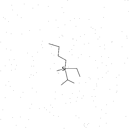 CCCC[Si](C)(CC)C(C)C